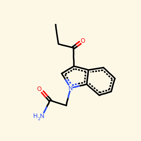 CCC(=O)c1cn(CC(N)=O)c2ccccc12